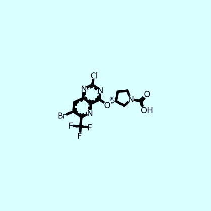 O=C(O)N1CC[C@@H](Oc2nc(Cl)nc3cc(Br)c(C(F)(F)F)nc23)C1